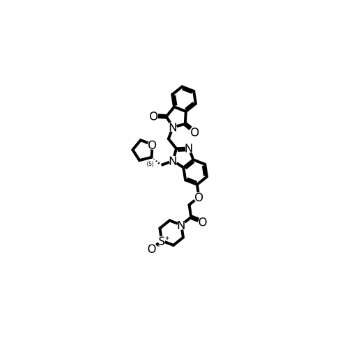 O=C(COc1ccc2nc(CN3C(=O)c4ccccc4C3=O)n(C[C@@H]3CCCO3)c2c1)N1CC[S+]([O-])CC1